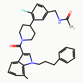 Cc1cccc2c(C(=O)N3CCC(c4cc(CNC(=O)C(F)(F)F)ccc4F)CC3)cn(CCCc3ccccc3)c12